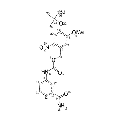 COc1cc(COC(=O)Nc2cccc(C(N)=O)c2)c([N+](=O)[O-])cc1OC(C)(C)C(C)(C)C